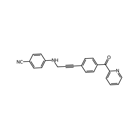 N#Cc1ccc(NCC#Cc2ccc(C(=O)c3ccccn3)cc2)cc1